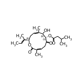 CC=C(C)[C@H]1CC=C(C)[C@@H](O)[C@H](OC(=O)CC(C)C)C(=O)CC=C(C)C(=O)O1